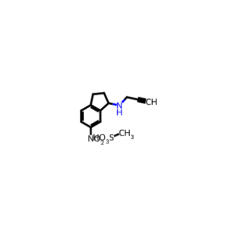 C#CCNC1CCc2ccc([N+](=O)[O-])cc21.CS(=O)(=O)O